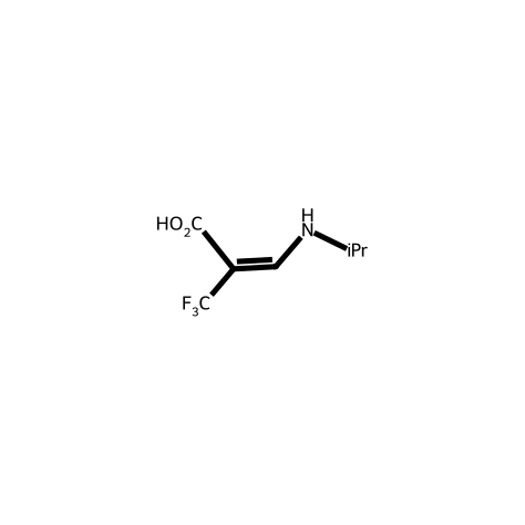 CC(C)N/C=C(\C(=O)O)C(F)(F)F